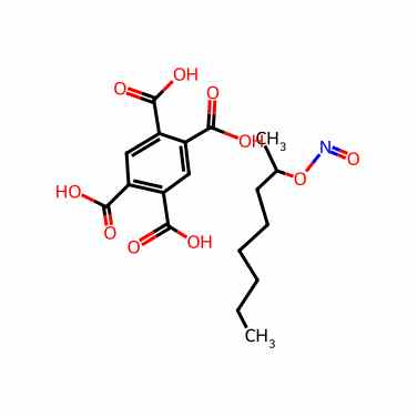 CCCCCCC(C)ON=O.O=C(O)c1cc(C(=O)O)c(C(=O)O)cc1C(=O)O